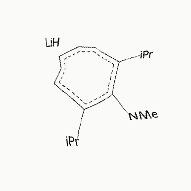 CNc1c(C(C)C)cccc1C(C)C.[LiH]